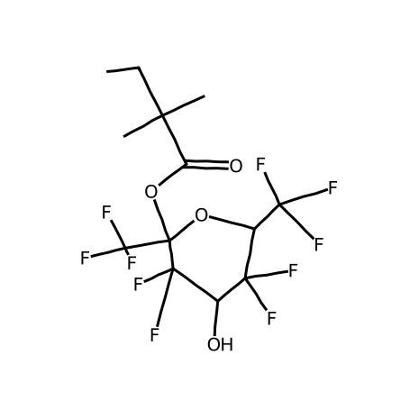 CCC(C)(C)C(=O)OC1(C(F)(F)F)OC(C(F)(F)F)C(F)(F)C(O)C1(F)F